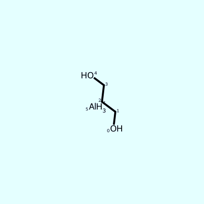 OC[CH]CO.[AlH3]